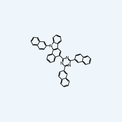 c1ccc2cc(-c3nc(-c4ccc5ccccc5c4)nc(-c4cc5c6ccccc6n(-c6ccc7ccccc7c6)c5c5ccccc45)n3)ccc2c1